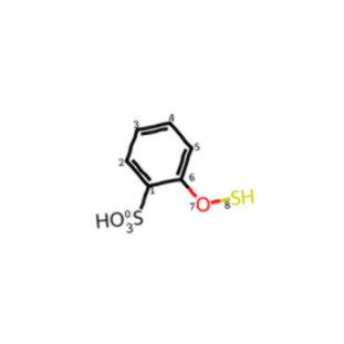 O=S(=O)(O)c1ccccc1OS